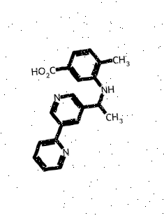 Cc1ccc(C(=O)O)cc1NC(C)c1cncc(-c2ccccn2)c1